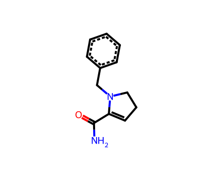 NC(=O)C1=CCCN1Cc1ccccc1